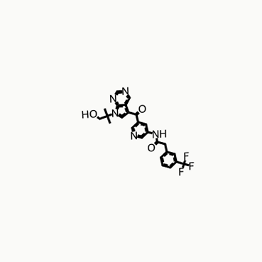 CC(C)(CO)n1cc(C(=O)c2cncc(NC(=O)Cc3cccc(C(F)(F)F)c3)c2)c2cncnc21